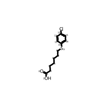 O=C(O)CCCCCCSc1ccc(Cl)cc1